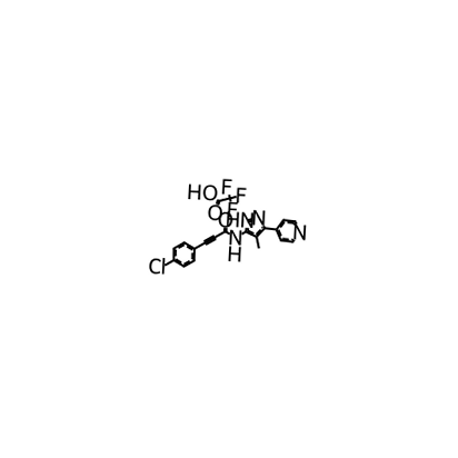 Cc1c(-c2ccncc2)n[nH]c1NC(=O)C#Cc1ccc(Cl)cc1.O=C(O)C(F)(F)F